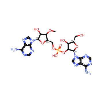 COC1C(O)[C@H](n2cnc3c(N)ncnc32)O[C@@H]1COP(=O)(O)OC1C(O)[C@@H](CO)O[C@H]1n1cnc2c(N)ncnc21